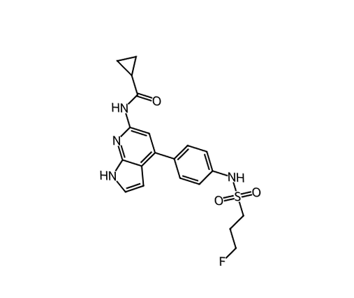 O=C(Nc1cc(-c2ccc(NS(=O)(=O)CCCF)cc2)c2cc[nH]c2n1)C1CC1